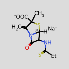 C=C1N2C(=O)C(NC(=S)CC)[C@H]2SC1(C)C(=O)[O-].[Na+]